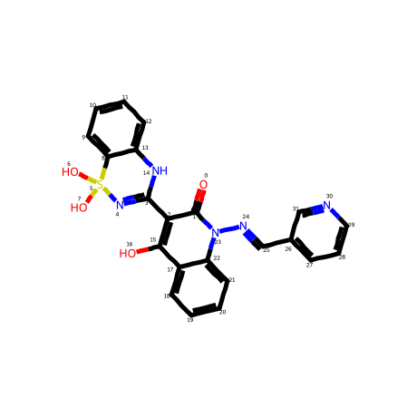 O=c1c(C2=NS(O)(O)c3ccccc3N2)c(O)c2ccccc2n1N=Cc1cccnc1